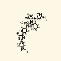 C/C=C(\C)C1CN(C(C=O)(NC(=O)c2ccc(-c3nc(N4CCN(C)CC4)sc3F)cc2)C2CCCCC2)C2C(=O)COC12